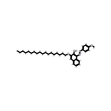 CCCCCCCCCCCCCCCCCCOc1cc2ccccc2c(/N=N/c2ccc(OC)cc2)c1O